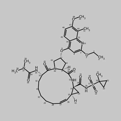 CCOc1cc(O[C@@H]2C[C@H]3C(=O)N[C@]4(C(=O)NS(=O)(=O)C5(C)CC5)C[C@H]4/C=C\CCCCC[C@H](NC(=O)N(C)C)C(=O)N3C2)c2ccc(OC)c(C)c2n1